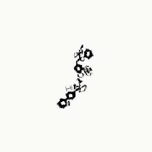 CCOC(=O)C(Cc1ccc(OCCNC(=O)c2ccc(-c3ccccn3)cc2)c([N+](=O)[O-])c1)Oc1ccccc1